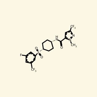 Cn1nc(C(F)(F)F)cc1C(=O)N[C@H]1CC[C@@H](S(=O)(=O)c2cc(F)cc(C(F)(F)F)c2)CC1